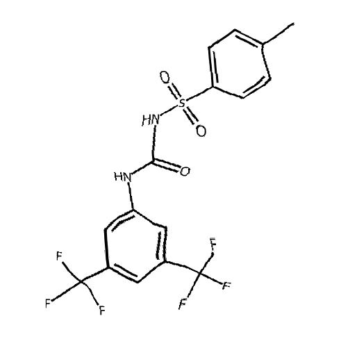 Cc1ccc(S(=O)(=O)NC(=O)Nc2cc(C(F)(F)F)cc(C(F)(F)F)c2)cc1